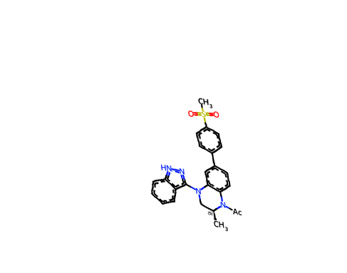 CC(=O)N1c2ccc(-c3ccc(S(C)(=O)=O)cc3)cc2N(c2n[nH]c3ccccc23)C[C@@H]1C